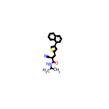 CC(C)NC(=O)/C(C#N)=C/c1cc(-c2cccc3ccccc23)cs1